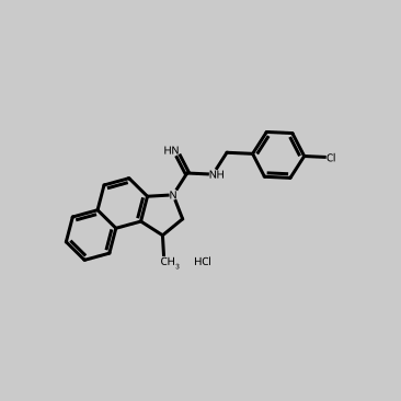 CC1CN(C(=N)NCc2ccc(Cl)cc2)c2ccc3ccccc3c21.Cl